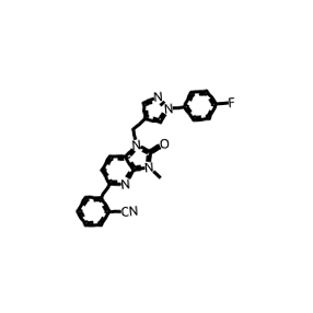 Cn1c(=O)n(Cc2cnn(-c3ccc(F)cc3)c2)c2ccc(-c3ccccc3C#N)nc21